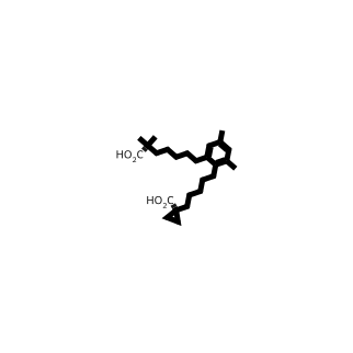 Cc1cc(C)c(CCCCCC2(C(=O)O)CC2)c(CCCCCC(C)(C)C(=O)O)c1